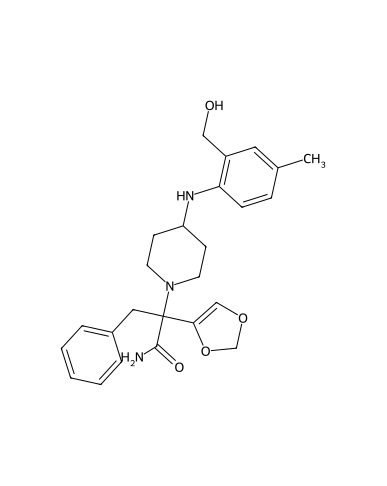 Cc1ccc(NC2CCN(C(Cc3ccccc3)(C(N)=O)C3=COCO3)CC2)c(CO)c1